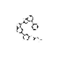 CN(C)CC(=O)Nc1cncc(-c2cc3c(-c4cc5c(-c6ccncc6)ccnc5[nH]4)n[nH]c3cn2)c1